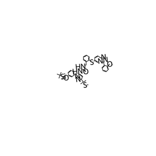 COc1ccccc1-c1nnc2ccc(Sc3ccccc3CNC(=O)Nc3cc(C(C)(C)SC)nn3-c3cccc(O[Si](C)(C)C(C)(C)C)c3)cn12